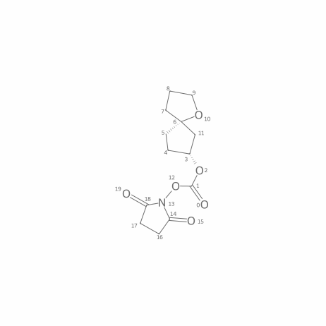 O=C(O[C@@H]1CC[C@@]2(CCCO2)C1)ON1C(=O)CCC1=O